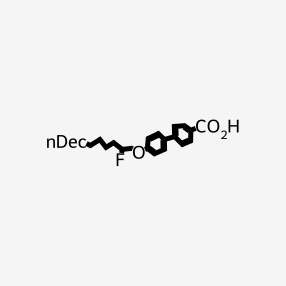 CCCCCCCCCCCCCCC(F)COc1ccc(-c2ccc(C(=O)O)cc2)cc1